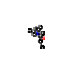 c1ccc(-c2cccc(N(c3cc4ccccc4c4ccccc34)c3cc4c5ccc(-c6ccccc6)cc5oc4c4ccccc34)c2)cc1